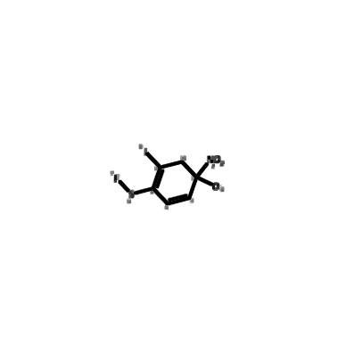 [O]C1([N+](=O)[O-])C=CC(SF)=C(I)C1